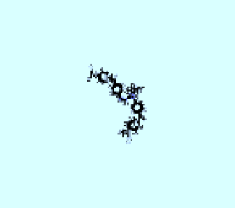 CN(C)c1cc[n+](Cc2ccc(/C=C\C=C/c3ccc(C[n+]4ccc(N(C)C)cc4)cc3)cc2)cc1.[Br-].[Br-]